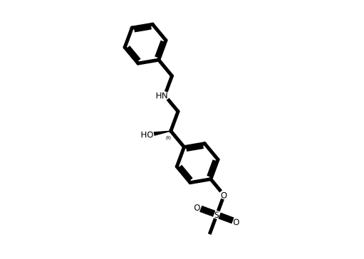 CS(=O)(=O)Oc1ccc([C@@H](O)CNCc2ccccc2)cc1